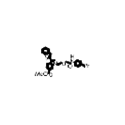 COC(=O)c1ccc2c(-c3cc4ccccc4s3)cn(CCOCC(=O)Nc3ccc(C(C)C)cc3)c2c1